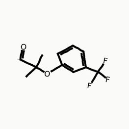 CC(C)([C]=O)Oc1cccc(C(F)(F)F)c1